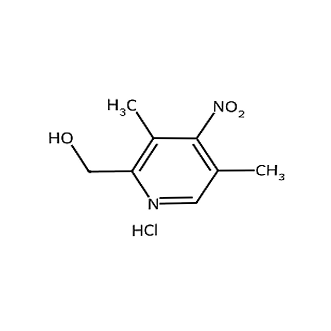 Cc1cnc(CO)c(C)c1[N+](=O)[O-].Cl